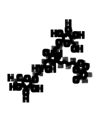 C[C@@H]1O[C@@H](OCCNC(=O)CC(NC(=O)CCCCC(=O)ON2C(=O)CCC2=O)C(=O)NCCO[C@H]2O[C@H](CO)[C@@H](O)[C@H](O)[C@@H]2O)[C@@H](O)[C@H](O)C1O